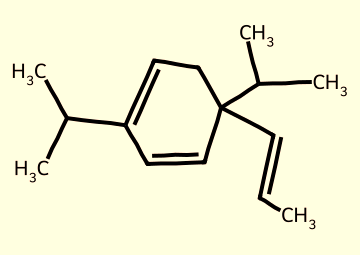 CC=CC1(C(C)C)C=CC(C(C)C)=CC1